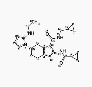 CCNc1nccn1[C@H]1CCc2sc(NC(=O)C3CC3)c(C(=O)NCC3CC3)c2C1